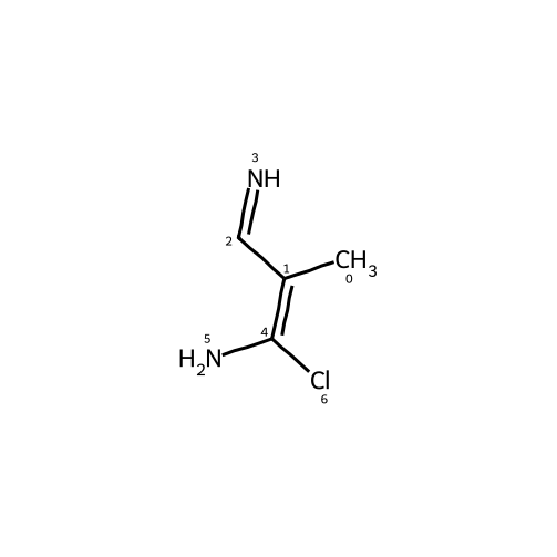 C/C(C=N)=C(/N)Cl